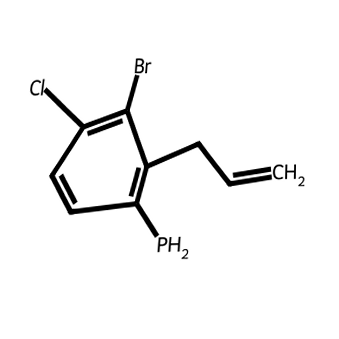 C=CCc1c(P)ccc(Cl)c1Br